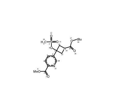 COC(=O)c1ccc(C2(OS(C)(=O)=O)CN(C(=O)OC(C)(C)C)C2)cn1